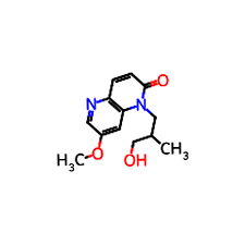 COc1cnc2ccc(=O)n(CC(C)CO)c2c1